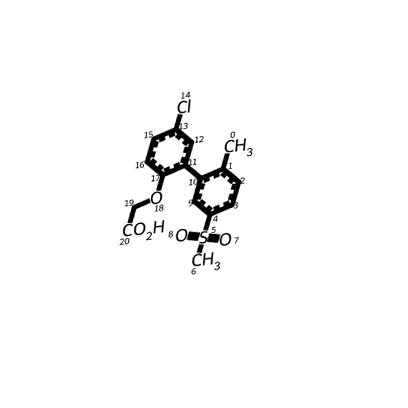 Cc1ccc(S(C)(=O)=O)cc1-c1cc(Cl)ccc1OCC(=O)O